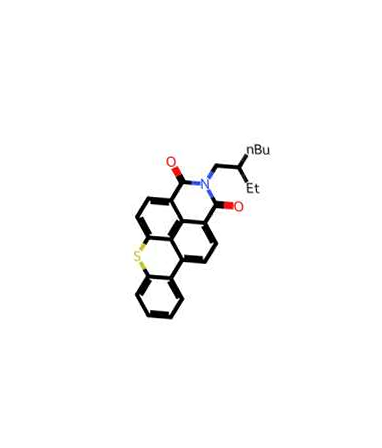 CCCCC(CC)Cn1c(=O)c2ccc3sc4ccccc4c4ccc(c1=O)c2c34